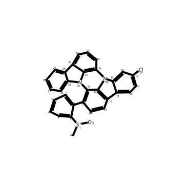 C[S+]([O-])c1ccccc1-c1ccc2c3ccc(Cl)cc3n3c4cccc5c6ccccc6n(c1c23)c54